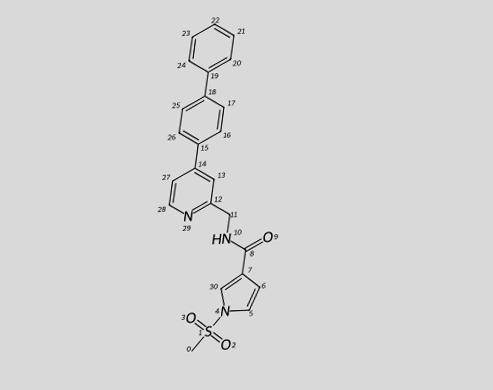 CS(=O)(=O)n1ccc(C(=O)NCc2cc(-c3ccc(-c4ccccc4)cc3)ccn2)c1